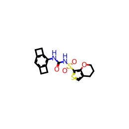 O=C(Nc1c2c(cc3c1CC3)CC2)NS(=O)(=O)c1scc2c1OCCC2